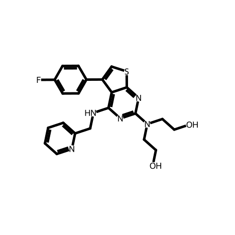 OCCN(CCO)c1nc(NCc2ccccn2)c2c(-c3ccc(F)cc3)csc2n1